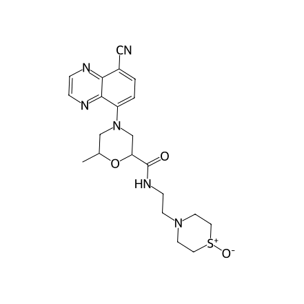 CC1CN(c2ccc(C#N)c3nccnc23)CC(C(=O)NCCN2CC[S+]([O-])CC2)O1